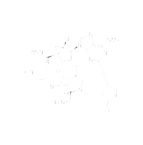 CNC(=O)[C@@]12C[C@@H]1[C@@H](n1cnc3c(NC)nc(C#Cc4ccc(Cl)s4)nc31)[C@H](OC(=O)CN(C)C(=O)CN)[C@@H]2OCC(C=O)N(C)CCN